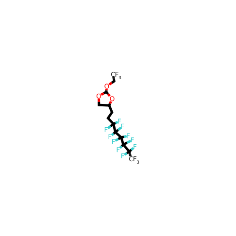 FC(F)(F)COC1OCC(CCC(F)(F)C(F)(F)C(F)(F)C(F)(F)C(F)(F)C(F)(F)F)O1